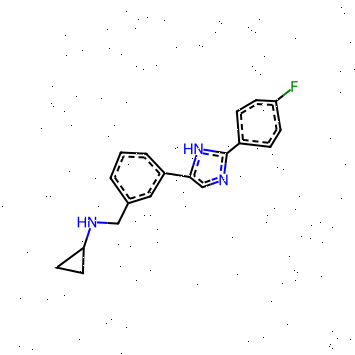 Fc1ccc(-c2ncc(-c3cccc(CNC4CC4)c3)[nH]2)cc1